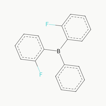 Fc1ccccc1B(c1ccccc1)c1ccccc1F